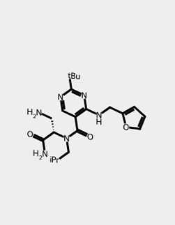 CC(C)CN(C(=O)c1cnc(C(C)(C)C)nc1NCc1ccco1)[C@@H](CN)C(N)=O